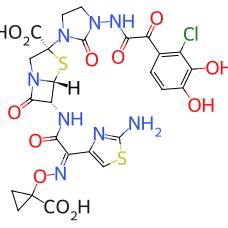 Nc1nc(/C(=N/OC2(C(=O)O)CC2)C(=O)N[C@@H]2C(=O)N3C[C@@](C(=O)O)(N4CCN(NC(=O)C(=O)c5ccc(O)c(O)c5Cl)C4=O)S[C@H]23)cs1